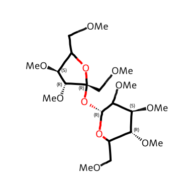 COCC1O[C@H](O[C@@]2(COC)OC(COC)[C@H](OC)[C@H]2OC)C(OC)[C@@H](OC)[C@@H]1OC